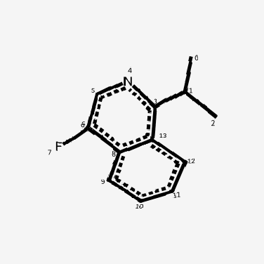 CC(C)c1ncc(F)c2ccccc12